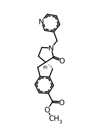 COC(=O)c1ccc2c(c1)C[C@@]1(CCN(Cc3cccnc3)C1=O)C2